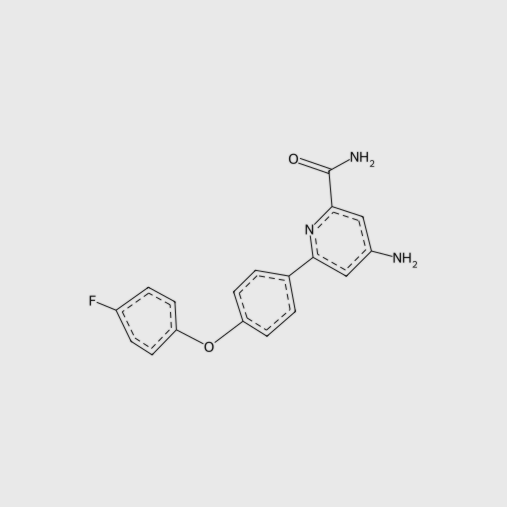 NC(=O)c1cc(N)cc(-c2ccc(Oc3ccc(F)cc3)cc2)n1